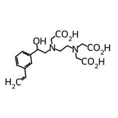 C=Cc1cccc(C(O)CN(CCN(CC(=O)O)CC(=O)O)CC(=O)O)c1